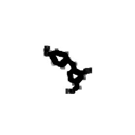 CCOc1ccc(Cc2ccc(CO)cc2O)cc1